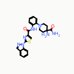 NC(=O)C1(N)CCN(c2ccccc2NC(=O)c2csc(-n3ncc4ccccc43)n2)CC1